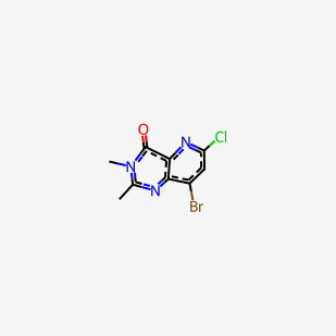 Cc1nc2c(Br)cc(Cl)nc2c(=O)n1C